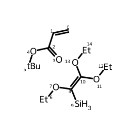 C=CC(=O)OC(C)(C)C.CCOC([SiH3])=C(OCC)OCC